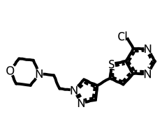 Clc1ncnc2cc(-c3cnn(CCN4CCOCC4)c3)sc12